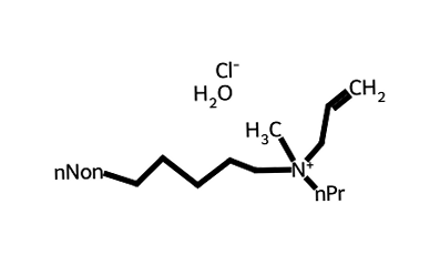 C=CC[N+](C)(CCC)CCCCCCCCCCCCCC.O.[Cl-]